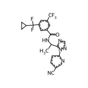 CC(NC(=O)c1cc(C(F)(F)F)cc(C(F)(F)C2CC2)c1)c1ncnn1-c1ccc(C#N)cn1